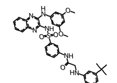 COc1cc(Nc2nc3ccccc3nc2NS(=O)(=O)c2cccc(NC(=O)CNc3cccc(C(C)(C)C)c3)c2)cc(OC)c1